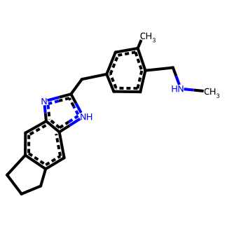 CNCc1ccc(Cc2nc3cc4c(cc3[nH]2)CCC4)cc1C